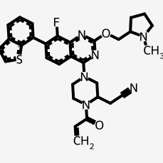 C=CC(=O)N1CCN(c2nc(OCC3CCCN3C)nc3c(F)c(-c4cccc5ccsc45)ccc23)CC1CC#N